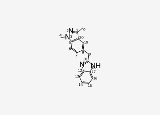 Cc1nn(C)c2ccc(Cc3nc4ccccc4[nH]3)cc12